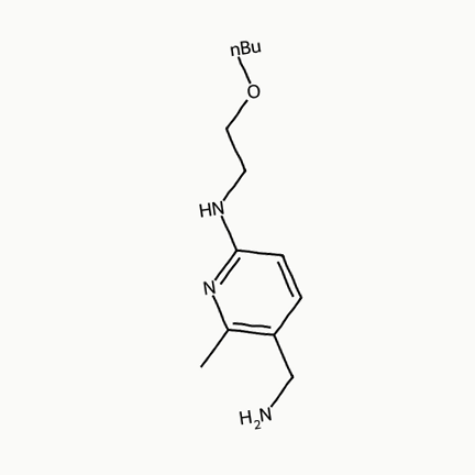 CCCCOCCNc1ccc(CN)c(C)n1